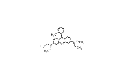 CCN(CC)c1ccc2c(-c3ccccc3C)c3ccc(=[N+](CC)CC)cc-3oc2c1